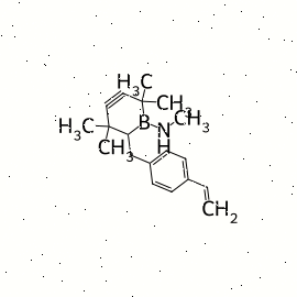 C=Cc1ccc(CC2B(NC)C(C)(C)C#CC2(C)C)cc1